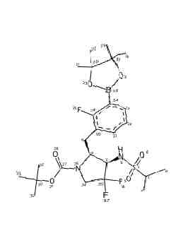 CC(C)S(=O)(=O)N[C@@H]1[C@H](Cc2cccc(B3OC(C)(C)C(C)(C)O3)c2F)N(C(=O)OC(C)(C)C)CC1(F)F